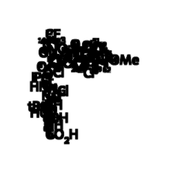 CC(C)OC(=O)c1cc(-n2c(=O)cc(C(F)(F)F)n(C)c2=O)ccc1Cl.CC1COc2ccccc2N1C(=O)C(Cl)Cl.CCNc1nc(Cl)nc(NC(C)(C)C)n1.CCc1cccc(C)c1N(C(=O)CCl)C(C)COC.O=C(O)CNCP(=O)(O)O